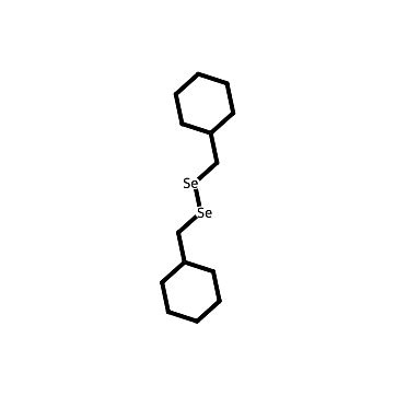 C1CCC(C[Se][Se]CC2CCCCC2)CC1